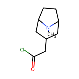 CN1C2CCC1CC(CC(=O)Cl)C2